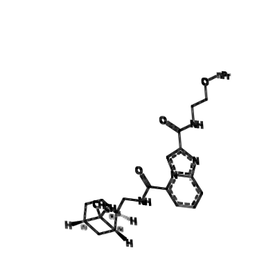 CCCOCCNC(=O)c1cn2c(C(=O)NC[C@@H]3CC[C@H]4C[C@@H]3C4(C)C)cccc2n1